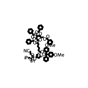 COc1ccc(C(OC[C@@H]2C[C@@H](OP(OCCC#N)N(C(C)C)C(C)C)CN2C(=O)CCCCO[C@H]2OC(COC(=O)c3ccccc3)[C@@H](OC(=O)c3ccccc3)[C@H](OC(=O)c3ccccc3)C2OC(=O)c2ccccc2)(c2ccccc2)c2ccc(OC)cc2)cc1